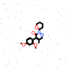 COc1ccc(-c2c(C)cnn(C3CCCCO3)c2=O)c(OC)c1